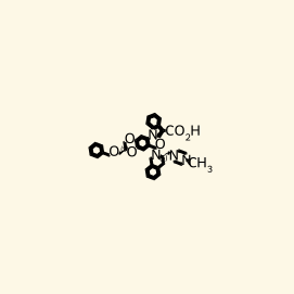 CN1CCN(C[C@@H]2Cc3ccccc3CN2C(=O)c2cc3c(cc2-n2cc(C(=O)O)c4ccccc42)OC[C@H](COCc2ccccc2)O3)CC1